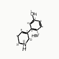 Br.Oc1cccc(C2=CCCNC2)c1